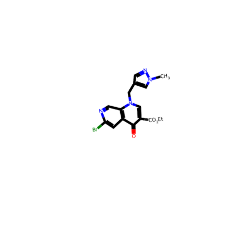 CCOC(=O)c1cn(Cc2cnn(C)c2)c2cnc(Br)cc2c1=O